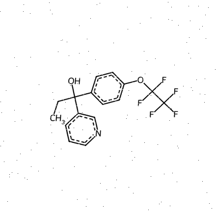 CCC(O)(c1ccc(OC(F)(F)C(F)(F)F)cc1)c1cccnc1